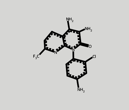 Nc1ccc(-n2c(=O)c(N)c(N)c3ccc(C(F)(F)F)nc32)c(Cl)c1